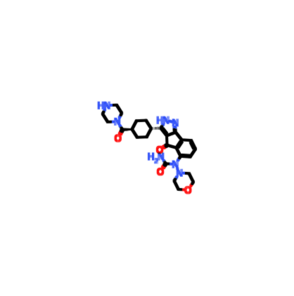 NC(=O)N(c1cccc2c1C(=O)c1c-2n[nH]c1[C@H]1CC[C@H](C(=O)N2CCNCC2)CC1)N1CCOCC1